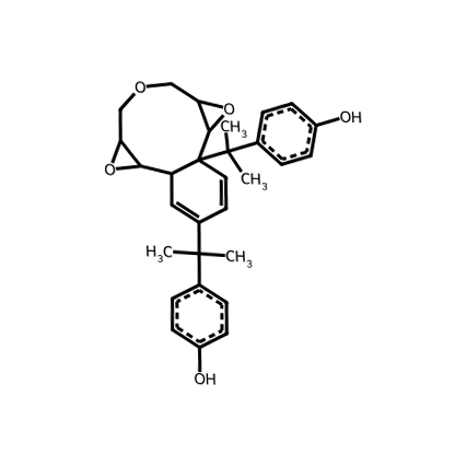 CC(C)(C1=CC2C3OC3COCC3OC3C2(C(C)(C)c2ccc(O)cc2)C=C1)c1ccc(O)cc1